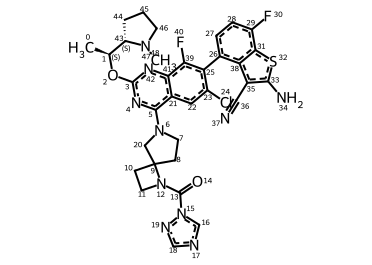 C[C@H](Oc1nc(N2CCC3(CCN3C(=O)n3cncn3)C2)c2cc(Cl)c(-c3ccc(F)c4sc(N)c(C#N)c34)c(F)c2n1)[C@@H]1CCCN1C